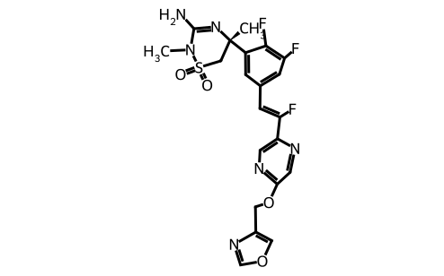 CN1C(N)=N[C@](C)(c2cc(/C=C(\F)c3cnc(OCc4cocn4)cn3)cc(F)c2F)CS1(=O)=O